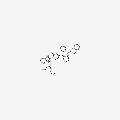 C=CC/C(=C\CC(C)C)Cn1c(C2C=CC(C3=C4C=CC=CC4(C)C(C4C=Cc5ccccc5C4)c4ccccc43)=CC2C)nc2ccccc21